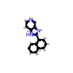 c1ccc2c(-c3nc4cnccc4[nH]3)cccc2c1